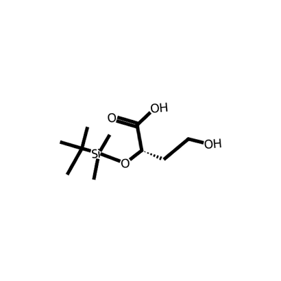 CC(C)(C)[Si](C)(C)O[C@@H](CCO)C(=O)O